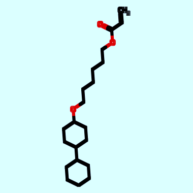 C=CC(=O)OCCCCCCOC1CCC(C2CCCCC2)CC1